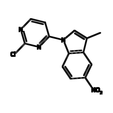 Cc1cn(-c2ccnc(Cl)n2)c2ccc([N+](=O)[O-])cc12